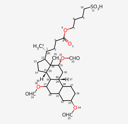 C[C@H](CCC(=O)OCCCCS(=O)(=O)O)C1CC[C@H]2C3C(OC=O)CC4CC(OC=O)CCC4[C@H]3CC(OC=O)C12C